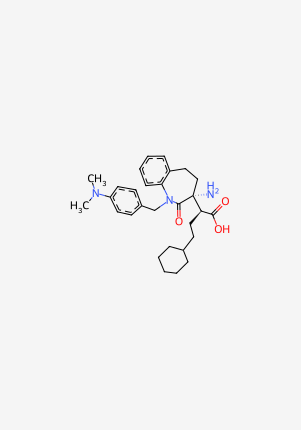 CN(C)c1ccc(CN2C(=O)[C@](N)([C@H](CCC3CCCCC3)C(=O)O)CCc3ccccc32)cc1